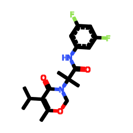 CC1=C(C(C)C)C(=O)N(C(C)(C)C(=O)Nc2cc(F)cc(F)c2)CO1